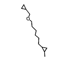 CC1CC1CCCCCCOCC1CC1